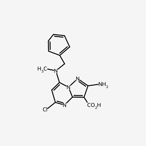 CN(Cc1ccccc1)c1cc(Cl)nc2c(C(=O)O)c(N)nn12